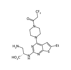 CCc1cc2c(N3CCN(C(=O)CC(F)(F)F)CC3)nc(N[C@@H](CN)C(=O)O)nc2s1